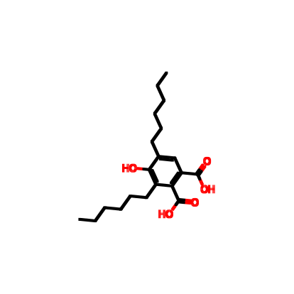 CCCCCCc1cc(C(=O)O)c(C(=O)O)c(CCCCCC)c1O